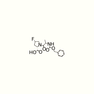 CC(NC(=O)OCc1ccccc1)C(=O)N1CC(F)C[C@H]1C(=O)O